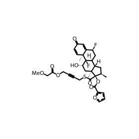 COCC(=O)OCC#CCSC(=O)[C@@]1(OC(=O)c2ccco2)[C@H](C)C[C@H]2[C@@H]3C[C@H](F)C4=CC(=O)C=C[C@]4(C)[C@@]3(F)[C@@H](O)C[C@@]21C